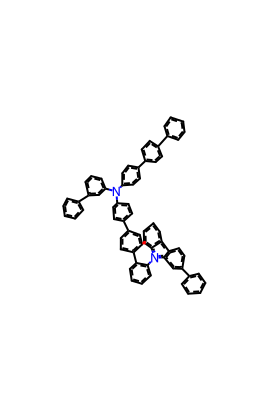 c1ccc(-c2ccc(-c3ccc(N(c4ccc(-c5ccc(-c6ccccc6-n6c7ccccc7c7ccc(-c8ccccc8)cc76)cc5)cc4)c4cccc(-c5ccccc5)c4)cc3)cc2)cc1